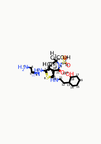 Cc1c(N/N=C\CN)sc(NCCC2CCCCC2O)c1C(=O)N([SH](=O)=O)C(C)(C)C(=O)O